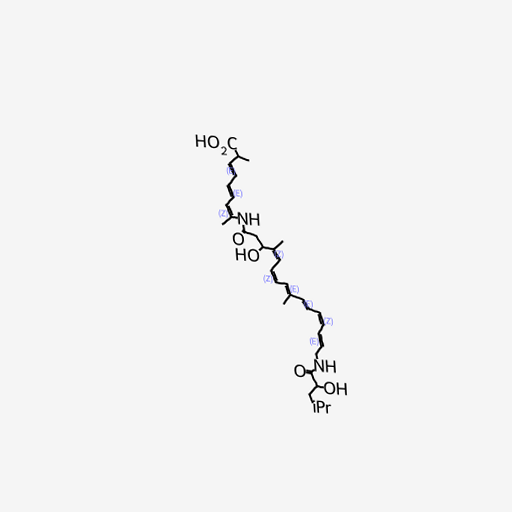 C/C(=C/C=C/C=C/C(C)C(=O)O)NC(=O)CC(O)\C(C)=C/C=C\C=C(C)\C=C\C=C/C=C/CNC(=O)C(O)CC(C)C